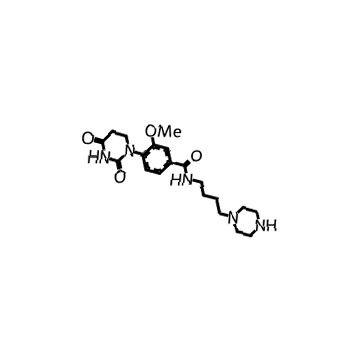 COc1cc(C(=O)NCCCCN2CCNCC2)ccc1N1CCC(=O)NC1=O